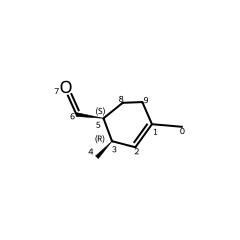 CC1=C[C@@H](C)[C@@H](C=O)CC1